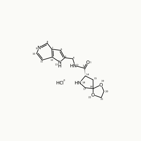 Cl.O=C(NCc1cc2cnccc2[nH]1)[C@@H]1CC2(CN1)OCCO2